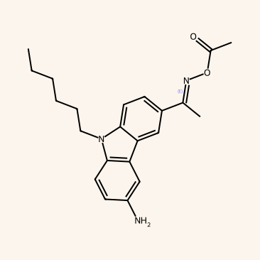 CCCCCCn1c2ccc(N)cc2c2cc(/C(C)=N/OC(C)=O)ccc21